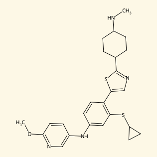 CNC1CCC(c2ncc(-c3ccc(Nc4ccc(OC)nc4)cc3SC3CC3)s2)CC1